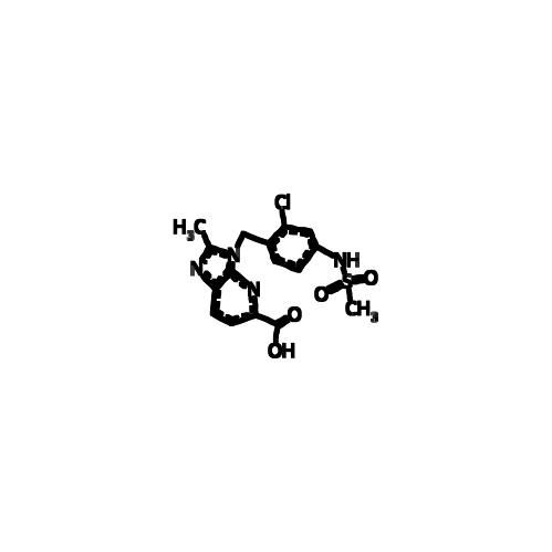 Cc1nc2ccc(C(=O)O)nc2n1Cc1ccc(NS(C)(=O)=O)cc1Cl